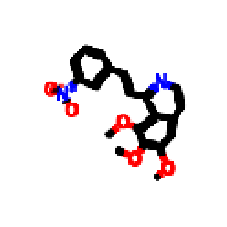 COc1cc2ccnc(/C=C/c3cccc([N+](=O)[O-])c3)c2c(OC)c1OC